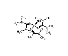 CC(=NP(=N)(N=C(N(C)C)N(C)C)N=C(N(C)C)N(C)C)N(C)C